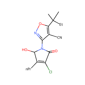 CCCC1=C(Cl)C(=O)N(c2noc(C(C)(C)CC)c2C#N)C1O